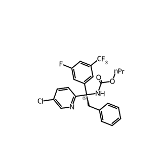 CCCOC(=O)N[C@@](Cc1ccccc1)(c1cc(F)cc(C(F)(F)F)c1)c1ccc(Cl)cn1